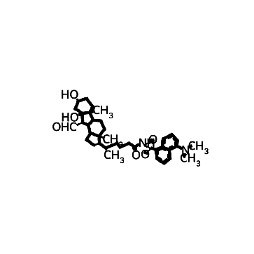 C[C@H](CCCC(=O)NS(=O)(=O)c1cccc2c(N(C)C)cccc12)[C@H]1CCC2C3C(CC[C@@]21C)C1(C)CC[C@H](O)CC1(O)[C@@H]3C=O